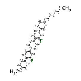 CCCCCCCCC1CCC(c2ccc(C3CCC(c4ccc(C5=CCC(CC)CC5)c(F)c4)CC3)c(F)c2)CC1